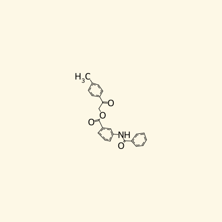 Cc1ccc(C(=O)COC(=O)c2cccc(NC(=O)c3ccccc3)c2)cc1